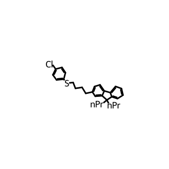 CCCC1(CCC)c2ccccc2-c2ccc(CCCCSc3ccc(Cl)cc3)cc21